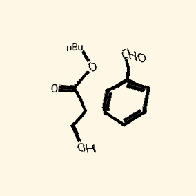 CCCCOC(=O)CCO.O=Cc1ccccc1